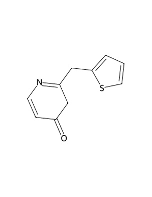 O=C1C=CN=C(Cc2cccs2)C1